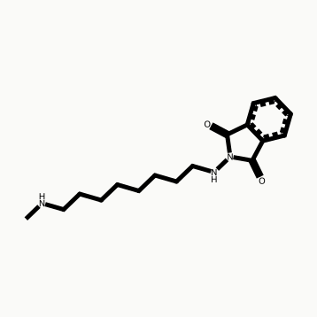 CNCCCCCCCCNN1C(=O)c2ccccc2C1=O